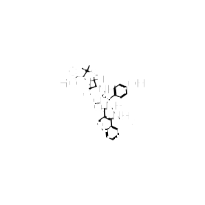 CC1(C)S[C@@H]2[C@H](NC(=O)C(NC(=O)c3cnc4ccccc4c3N)c3ccc(O)cc3)C(=O)N2[C@H]1C(=O)O